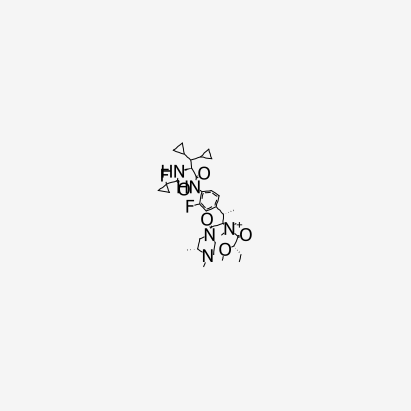 CC[C@H](OC)C(=O)[N+](C)(C)[C@@H](C(=O)N1CCN(C)[C@H](C)C1)[C@@H](C)c1ccc(NC(=O)[C@@H](NC(=O)C2(F)CC2)C(C2CC2)C2CC2)c(F)c1